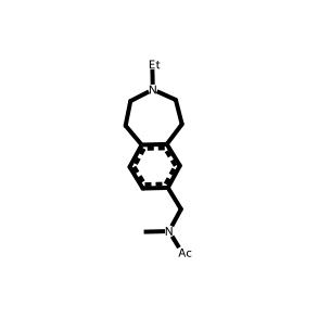 CCN1CCc2ccc(CN(C)C(C)=O)cc2CC1